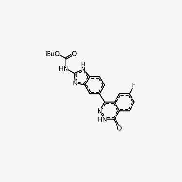 CC(C)COC(=O)Nc1nc2cc(-c3n[nH]c(=O)c4ccc(F)cc34)ccc2[nH]1